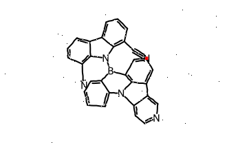 N#Cc1cccc2c3cccc(C#N)c3n(B3c4ccccc4-n4c5ccncc5c5cccc3c54)c12